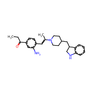 CCC(=O)c1ccc(C=C(C)N2CCC(CC3CNc4ccccc43)CC2)c(N)c1